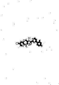 Cc1cc(F)ccc1-c1ccnc(C(=O)N[C@H]2COc3cc(Cl)cnc3N(C)C2=O)n1